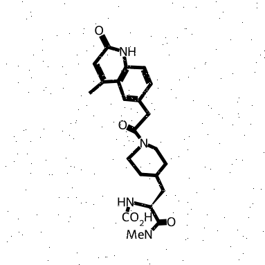 CNC(=O)[C@H](CC1CCN(C(=O)Cc2ccc3[nH]c(=O)cc(C)c3c2)CC1)NC(=O)O